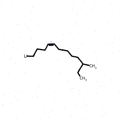 [Li][CH2]CC/C=C\CCCCC(C)CC